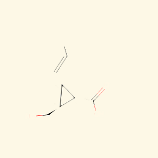 CC=C[C@H]1[C@H](CO)[C@H]1C(=O)O